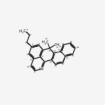 CCCc1cc2c3c(nccc3c1)-c1ccc3ccccc3c1C2(C)C